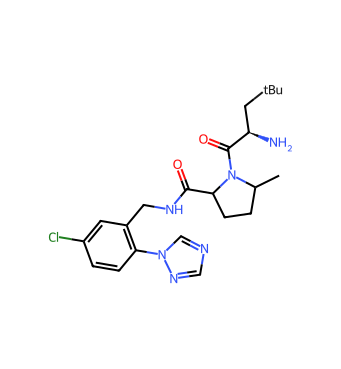 CC1CCC(C(=O)NCc2cc(Cl)ccc2-n2cncn2)N1C(=O)[C@H](N)CC(C)(C)C